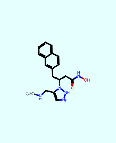 O=CNCC1=CNNN1C(CC(=O)NO)Cc1ccc2ccccc2c1